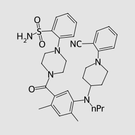 CCCN(c1cc(C(=O)N2CCN(c3ccccc3S(N)(=O)=O)CC2)c(C)cc1C)C1CCN(c2ccccc2C#N)CC1